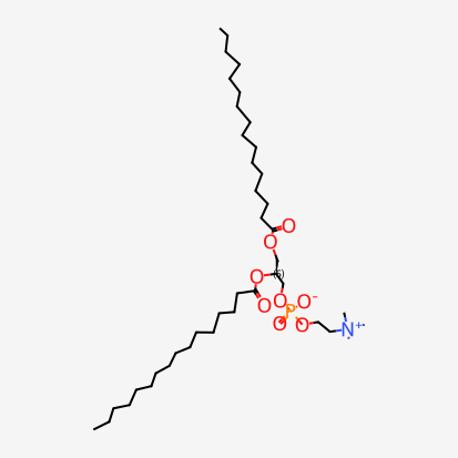 CCCCCCCCCCCCCCCC(=O)OC[C@@H](COP(=O)([O-])OCC[N+](C)(C)C)OC(=O)CCCCCCCCCCCCCCC